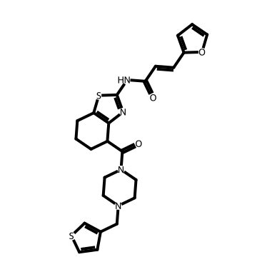 O=C(C=Cc1ccco1)Nc1nc2c(s1)CCCC2C(=O)N1CCN(Cc2ccsc2)CC1